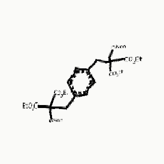 CCCCCCCCCC(Cc1ccc(CC(CCCCCCCCC)(C(=O)OCC)C(=O)OCC)cc1)(C(=O)OCC)C(=O)OCC